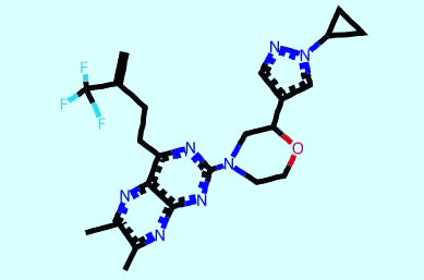 C=C(CCc1nc(N2CCOC(c3cnn(C4CC4)c3)C2)nc2nc(C)c(C)nc12)C(F)(F)F